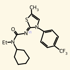 CCN(C(=O)/N=c1\sc(C)cn1-c1ccc(C(F)(F)F)cc1)C1CCCCC1